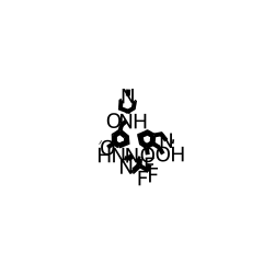 COc1cc(C(=O)NC2CCN(C)CC2)ccc1Nc1ncc(C(F)(F)F)c(Oc2cccc3c2C(O)N(C)C3)n1